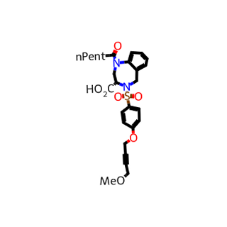 CCCCCC(=O)N1CC(C(=O)O)N(S(=O)(=O)c2ccc(OCC#CCOC)cc2)Cc2ccccc21